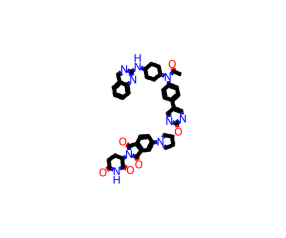 CC(=O)N(c1ccc(-c2cnc(O[C@@H]3CCN(c4ccc5c(c4)C(=O)N(C4CCC(=O)NC4=O)C5=O)C3)nc2)cc1)C1CCC(Nc2ncc3ccccc3n2)CC1